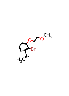 C=[C]c1cccc(OCCOC)c1Br